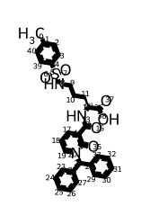 Cc1ccc(S(=O)(=O)NCCC[C@H](NC(=O)c2cccn(C(c3ccccc3)c3ccccc3)c2=O)C(=O)O)cc1